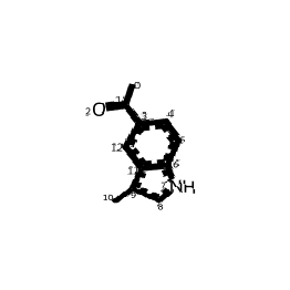 CC(=O)c1ccc2[nH]cc(C)c2c1